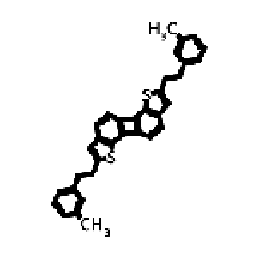 Cc1cccc(CCc2cc3ccc4c(c3s2)-c2ccc3cc(CCc5cccc(C)c5)sc3c2-4)c1